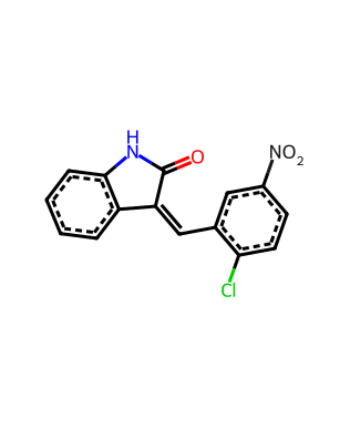 O=C1Nc2ccccc2/C1=C/c1cc([N+](=O)[O-])ccc1Cl